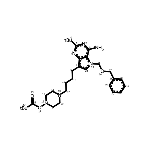 CCCCc1nc(N)c2c(n1)c(CCCCN1CCN(OC(=O)C(C)(C)C)CC1)cn2COCc1ccccc1